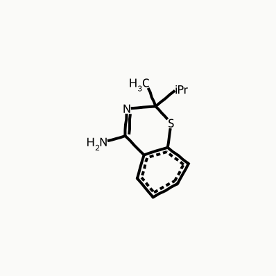 CC(C)C1(C)N=C(N)c2ccccc2S1